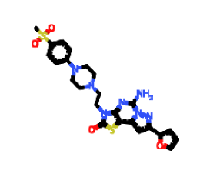 CS(=O)(=O)c1ccc(N2CCN(CCn3c(=O)sc4c3nc(N)n3nc(-c5ccco5)cc43)CC2)cc1